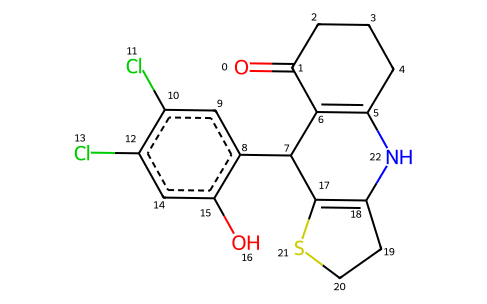 O=C1CCCC2=C1C(c1cc(Cl)c(Cl)cc1O)C1=C(CCS1)N2